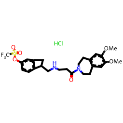 COc1cc2c(cc1OC)CCN(C(=O)CCNCC1Cc3cc(OS(=O)(=O)C(F)(F)F)ccc31)CC2.Cl